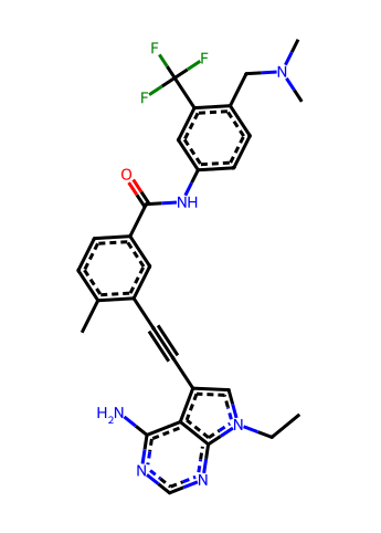 CCn1cc(C#Cc2cc(C(=O)Nc3ccc(CN(C)C)c(C(F)(F)F)c3)ccc2C)c2c(N)ncnc21